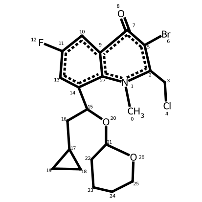 Cn1c(CCl)c(Br)c(=O)c2cc(F)cc(C(CC3CC3)OC3CCCCO3)c21